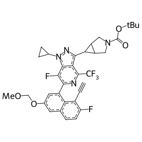 C#Cc1c(F)ccc2cc(OCOC)cc(-c3nc(C(F)(F)F)c4c(C5C6CN(C(=O)OC(C)(C)C)CC65)nn(C5CC5)c4c3F)c12